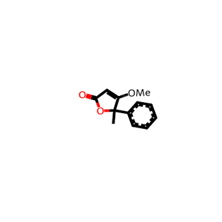 COC1=CC(=O)OC1(C)c1ccccc1